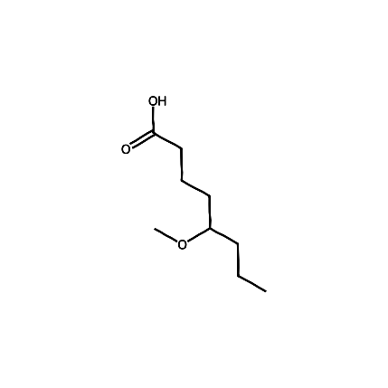 CCCC(CCCC(=O)O)OC